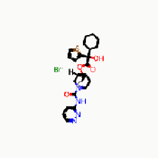 O=C(O[C@H]1C[N+]2(C(=O)Nc3cccnn3)CCC1CC2)C(O)(c1cccs1)C1CCCCC1.[Br-]